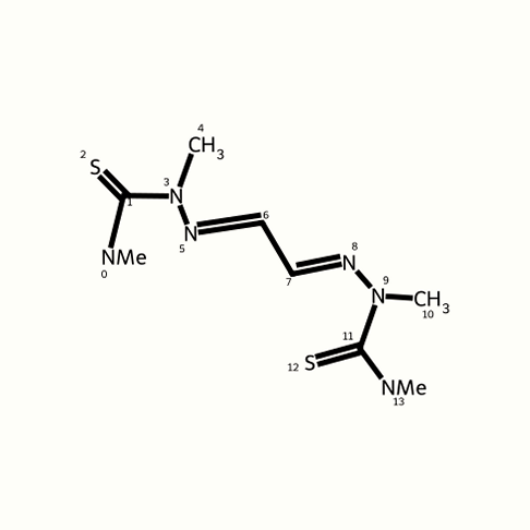 CNC(=S)N(C)N=CC=NN(C)C(=S)NC